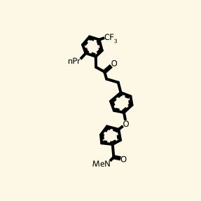 CCCc1ccc(C(F)(F)F)cc1CC(=O)CCc1ccc(Oc2cccc(C(=O)NC)c2)cc1